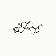 C=C1OC[C@@H](O)/C1=C\C[C@@H]1C(=C)CC[C@H]2[C@@]1(C)CCC1=NOC[C@]12C